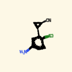 N#C[C@@H]1C[C@@H]1c1cc(N)ccc1Cl